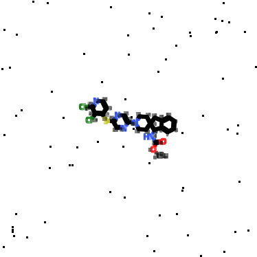 CC(C)(C)OC(=O)N[C@@H]1c2ccccc2CC12CCN(c1cnc(Sc3ccnc(Cl)c3Cl)cn1)CC2